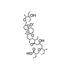 CC[C@@H](C(=O)[C@@H](C)[C@@H](O)[C@H](C)[C@@H]1O[C@@H]([C@@H](CC)C(=O)O)CC[C@@H]1C)[C@H]1O[C@]2(CC[C@@H](OC)[C@]3(CC[C@@](C)([C@H]4CC[C@](O)(CC)[C@H](C)O4)O3)O2)[C@H](C)C[C@@H]1C